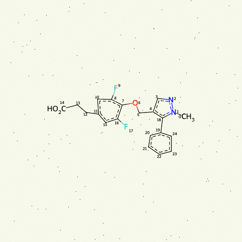 Cn1ncc(COc2c(F)cc(CCC(=O)O)cc2F)c1-c1ccccc1